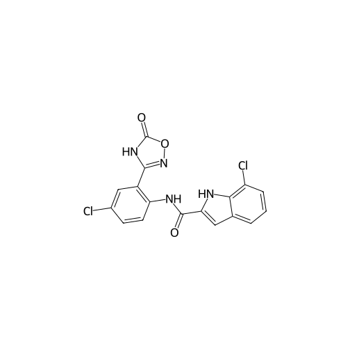 O=C(Nc1ccc(Cl)cc1-c1noc(=O)[nH]1)c1cc2cccc(Cl)c2[nH]1